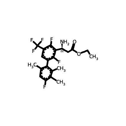 CCOC(=O)C[C@H](N)c1c(F)c(-c2c(C)cc(F)c(C)c2C)cc(C(F)(F)F)c1F